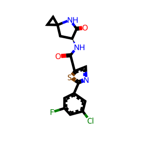 O=C(N[C@@H]1CC2(CC2)NC1=O)c1cnc(-c2cc(F)cc(Cl)c2)s1